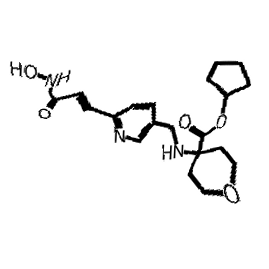 O=C(/C=C/c1ccc(CNC2(C(=O)OC3CCCC3)CCOCC2)cn1)NO